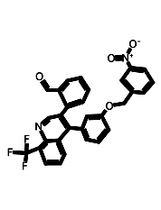 O=Cc1ccccc1-c1cnc2c(C(F)(F)F)cccc2c1-c1cccc(OCc2cccc([N+](=O)[O-])c2)c1